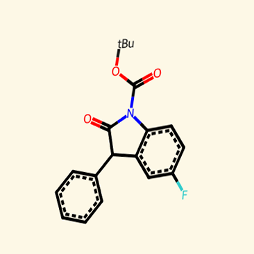 CC(C)(C)OC(=O)N1C(=O)C(c2ccccc2)c2cc(F)ccc21